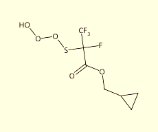 O=C(OCC1CC1)C(F)(SOOO)C(F)(F)F